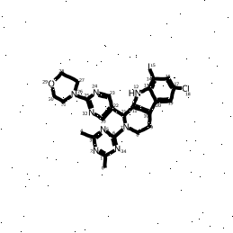 Cc1nc(C)nc(N2CCc3c([nH]c4c(I)cc(Cl)cc34)C2c2cnc(N3CCOCC3)nc2)n1